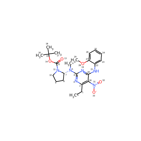 [CH2]Cc1nc(N(C)[C@@H]2CCCN2C(=O)OC(C)(C)C)nc(Nc2ccccc2OC)c1[N+](=O)[O-]